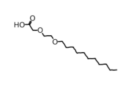 CCCCCCCCCCCOCCOCC(=O)O